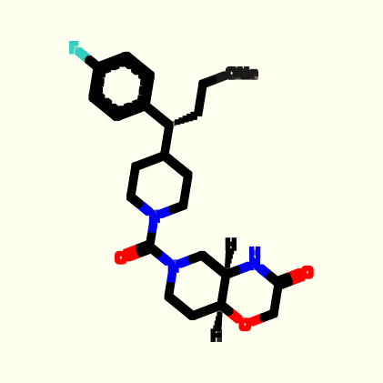 COCC[C@@H](c1ccc(F)cc1)C1CCN(C(=O)N2CC[C@@H]3OCC(=O)N[C@@H]3C2)CC1